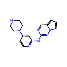 c1cc2cnc(Nc3cc(N4CCNCC4)ccn3)nn2c1